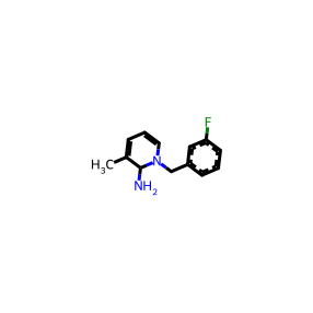 CC1=CC=CN(Cc2cccc(F)c2)C1N